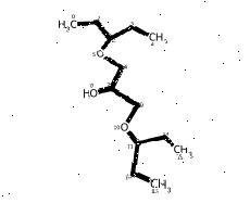 CCC(CC)OCC(O)COC(CC)CC